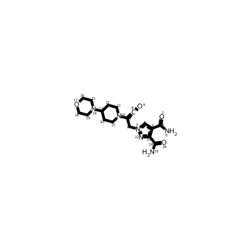 NC(=O)c1cn(CC(=C=O)N2CCC(N3CCOCC3)CC2)nc1C(N)=O